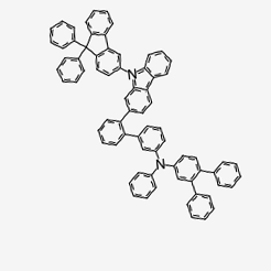 c1ccc(-c2ccc(N(c3ccccc3)c3cccc(-c4ccccc4-c4ccc5c6ccccc6n(-c6ccc7c(c6)-c6ccccc6C7(c6ccccc6)c6ccccc6)c5c4)c3)cc2-c2ccccc2)cc1